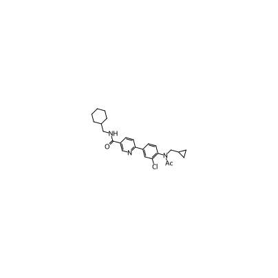 CC(=O)N(CC1CC1)c1ccc(-c2ccc(C(=O)NCC3CCCCC3)cn2)cc1Cl